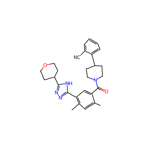 Cc1cc(C)c(-c2nnc(C3CCOCC3)[nH]2)cc1C(=O)N1CCC(c2ccccc2C#N)CC1